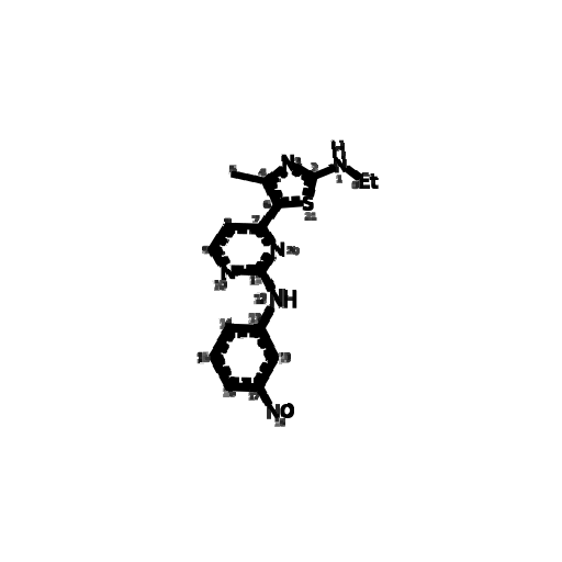 CCNc1nc(C)c(-c2ccnc(Nc3cccc(N=O)c3)n2)s1